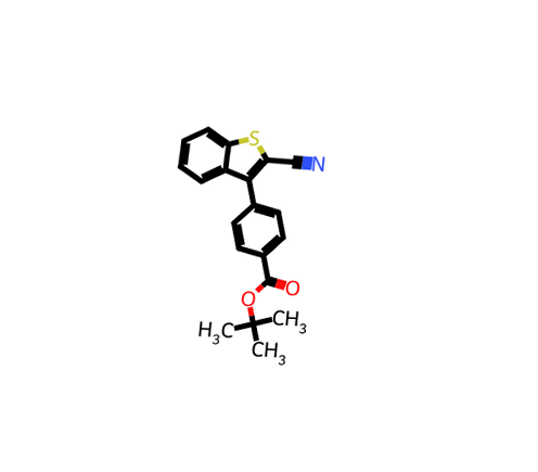 CC(C)(C)OC(=O)c1ccc(-c2c(C#N)sc3ccccc23)cc1